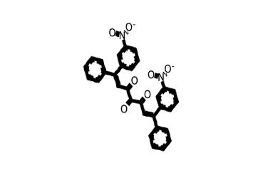 O=C(C=C(c1ccccc1)c1cccc([N+](=O)[O-])c1)C(=O)C(=O)C=C(c1ccccc1)c1cccc([N+](=O)[O-])c1